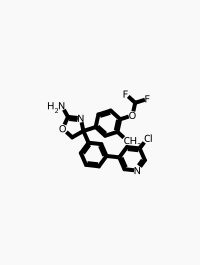 Cc1cc(C2(c3cccc(-c4cncc(Cl)c4)c3)COC(N)=N2)ccc1OC(F)F